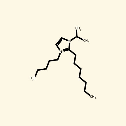 CCCCCCCc1n(C(C)C)cc[n+]1CCCCC